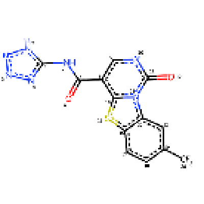 O=C(Nc1nnn[nH]1)c1cnc(=O)n2c1sc1ccc(C(F)(F)F)cc12